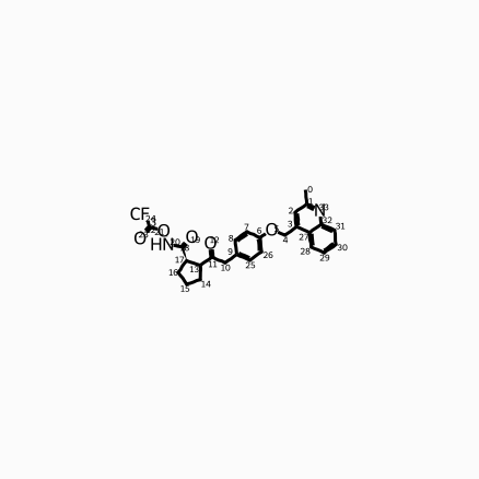 Cc1cc(COc2ccc(CC(=O)C3CCC[C@H]3C(=O)NOC(=O)C(F)(F)F)cc2)c2ccccc2n1